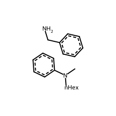 CCCCCCN(C)c1ccccc1.NCc1ccccc1